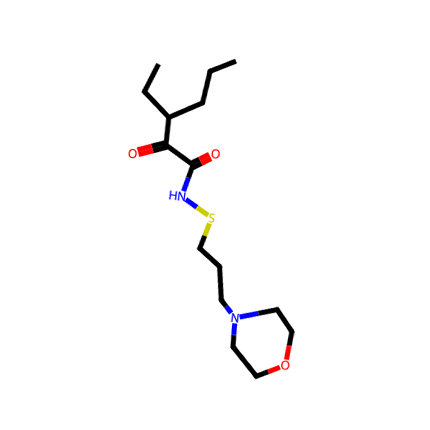 CCCC(CC)C(=O)C(=O)NSCCCN1CCOCC1